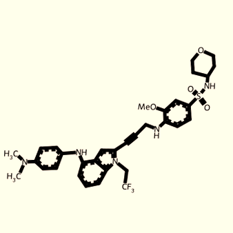 COc1cc(S(=O)(=O)NC2CCOCC2)ccc1NCC#Cc1cc2c(Nc3ccc(N(C)C)cc3)cccc2n1CC(F)(F)F